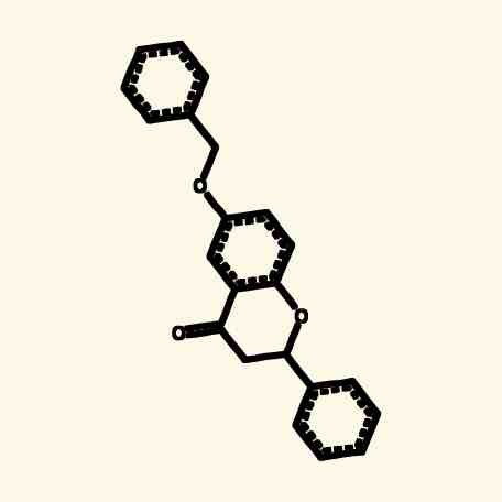 O=C1CC(c2ccccc2)Oc2ccc(OCc3ccccc3)cc21